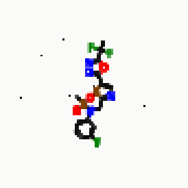 CC(F)(F)c1nnc(-c2cnc(CN(c3cccc(F)c3)S(C)(=O)=O)s2)o1